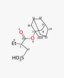 CCC(CS(=O)(=O)O)C(=O)OC12CC3CC(CC(C3)C1)C2